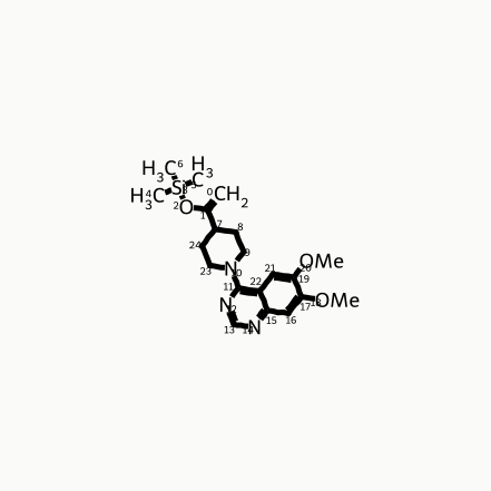 C=C(O[Si](C)(C)C)C1CCN(c2ncnc3cc(OC)c(OC)cc23)CC1